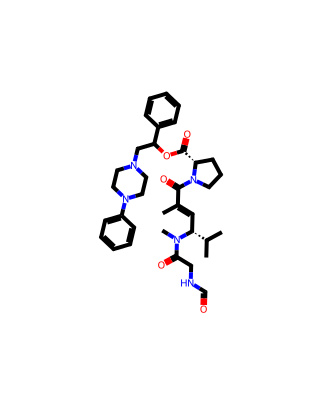 C/C(=C\[C@H](C(C)C)N(C)C(=O)CNC=O)C(=O)N1CCC[C@H]1C(=O)OC(CN1CCN(c2ccccc2)CC1)c1ccccc1